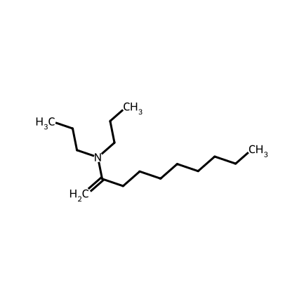 C=C(CCCCCCCC)N(CCC)CCC